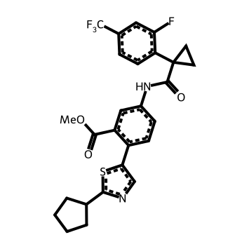 COC(=O)c1cc(NC(=O)C2(c3ccc(C(F)(F)F)cc3F)CC2)ccc1-c1cnc(C2CCCC2)s1